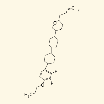 C=CCCC1CCC(C2CCC(C3CCC(c4ccc(OCCC)c(F)c4F)CC3)CC2)CO1